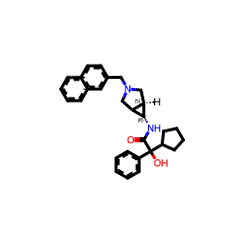 O=C(N[C@@H]1C2CN(Cc3ccc4ccccc4c3)C[C@H]21)C(O)(c1ccccc1)C1CCCC1